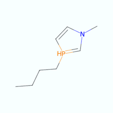 CCCC[PH]1=CN(C)C=C1